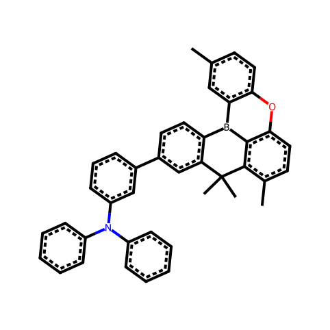 Cc1ccc2c(c1)B1c3ccc(-c4cccc(N(c5ccccc5)c5ccccc5)c4)cc3C(C)(C)c3c(C)ccc(c31)O2